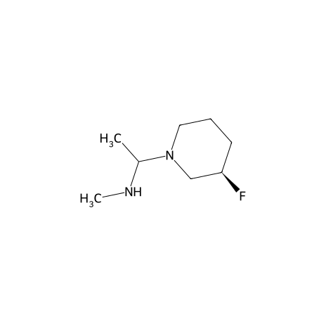 CNC(C)N1CCC[C@@H](F)C1